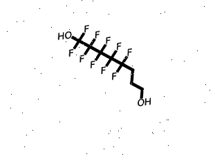 OCCCC(F)(F)C(F)(F)C(F)(F)C(F)(F)C(O)(F)F